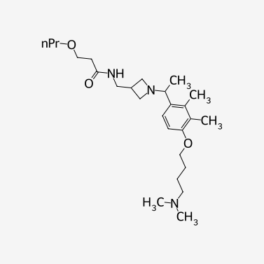 CCCOCCC(=O)NCC1CN(C(C)c2ccc(OCCCCN(C)C)c(C)c2C)C1